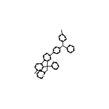 Cc1ccc(N(c2ccccc2)c2ccc(-c3ccc4c(c3)C(Cc3ccccc3)(c3ccccc3)c3cc(C)ccc3-4)cc2)cc1